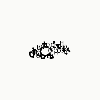 C=C[C@@H]1C[C@]1(NC(=O)[C@@H]1C[C@@]23CN1C(=O)[C@H](C(C)(C)C)NC(=O)[C@@H](NC(=O)[C@@H]1CCCCN1C(C)C)C1CCCC(C1)C2(C)C31CCC1)C(=O)NS(=O)(=O)N(CC)C(C)C